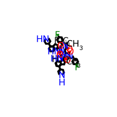 C[C@H](N(Cc1ccc(F)cc1)C(=O)C(C(C(=O)N(Cc1ccc(F)cc1)[C@@H](C)C(F)(F)F)N1C(=O)NC2(CCc3c(C4CCNCC4)cccc32)C1=O)N1C(=O)NC2(CCc3c(C4=CCNCC4)cccc32)C1=O)C(F)(F)F